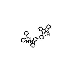 c1ccc(-c2nc(-n3c4ccccc4c4cc(-c5ccc6[nH]c7c8sc9ccccc9c8c8ccccc8c7c6c5)ccc43)nc3ccccc23)cc1